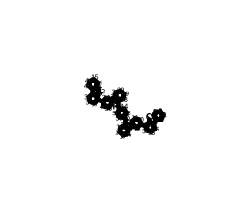 c1ccc2c(c1)sc1c(-c3ccc4c(c3)c3ccccc3n4-c3ccc(-n4c5ccccc5c5cc(-c6cccc7c6sc6ccccc67)ccc54)cc3)cccc12